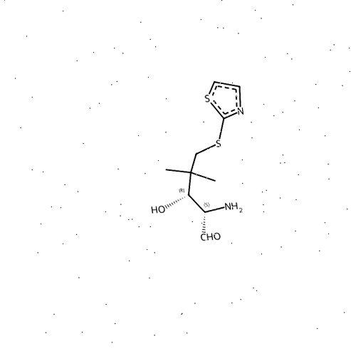 CC(C)(CSc1nccs1)[C@@H](O)[C@H](N)C=O